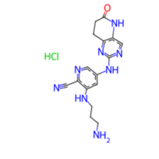 Cl.N#Cc1ncc(Nc2ncc3c(n2)CCC(=O)N3)cc1NCCCN